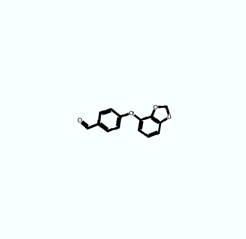 O=Cc1ccc(Oc2cccc3c2OCO3)cc1